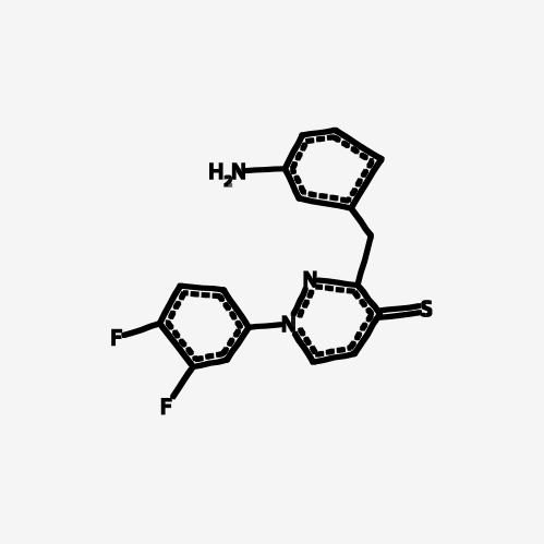 Nc1cccc(Cc2nn(-c3ccc(F)c(F)c3)ccc2=S)c1